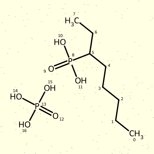 CCCCCC(CC)P(=O)(O)O.O=P(O)(O)O